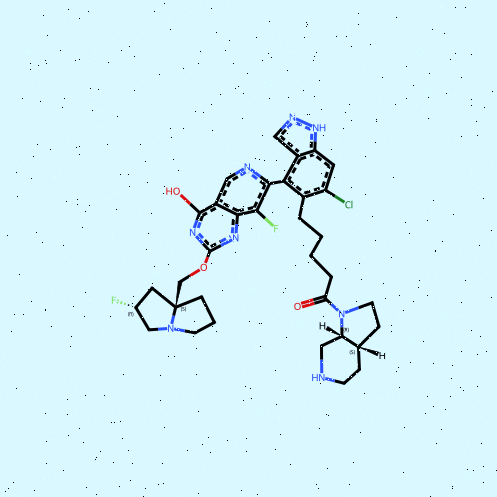 O=C(CCCCc1c(Cl)cc2[nH]ncc2c1-c1ncc2c(O)nc(OC[C@@]34CCCN3C[C@H](F)C4)nc2c1F)N1CC[C@@H]2CCNC[C@@H]21